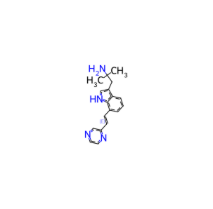 CC(C)(N)Cc1c[nH]c2c(/C=C/c3cnccn3)cccc12